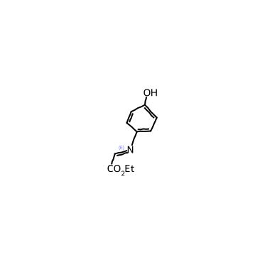 CCOC(=O)/C=N/c1ccc(O)cc1